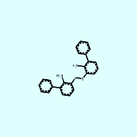 Nc1c(SSc2cccc(-c3ccccc3)c2N)cccc1-c1ccccc1